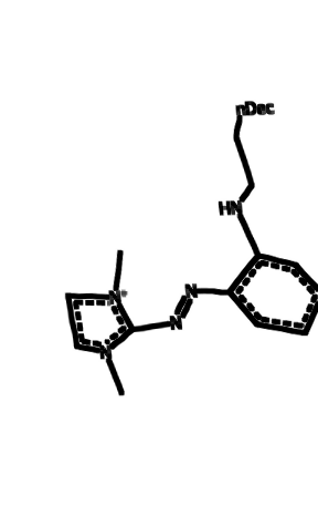 CCCCCCCCCCCCNc1ccccc1/N=N/c1n(C)cc[n+]1C